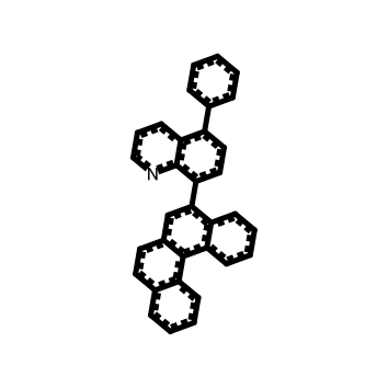 c1ccc(-c2ccc(-c3cc4ccc5ccccc5c4c4ccccc34)c3ncccc23)cc1